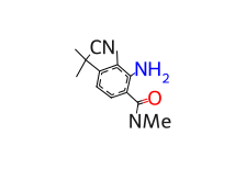 CNC(=O)c1ccc(C(C)(C)C#N)c(C)c1N